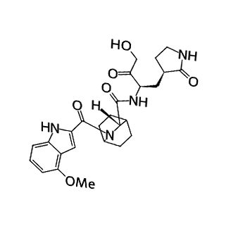 COc1cccc2[nH]c(C(=O)N3C4CCC(CC4)[C@H]3C(=O)N[C@H](C[C@H]3CCNC3=O)C(=O)CO)cc12